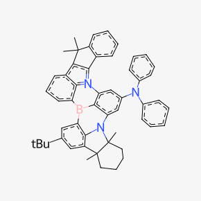 CC(C)(C)c1cc2c3c(c1)C1(C)CCCCC1(C)N3c1cc(N(c3ccccc3)c3ccccc3)cc3c1B2c1cccc2c4c(n-3c12)-c1ccccc1C4(C)C